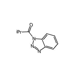 CC(C)C(=O)n1nnc2ccccc21